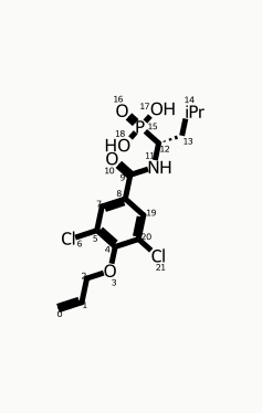 C=CCOc1c(Cl)cc(C(=O)N[C@@H](CC(C)C)P(=O)(O)O)cc1Cl